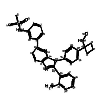 CS(=O)(=O)Nc1cccc(-c2ccc3nc(-c4cccnc4N)n(-c4ccc(C5(NCl)CCC5)cc4)c3n2)c1